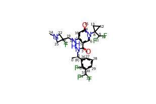 C[C@@H](NC(=O)c1cn(C2(C(F)F)CC2)c(=O)cc1NCC1(F)CN(C)C1)c1cccc(C(F)F)c1F